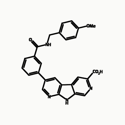 COc1ccc(CNC(=O)c2cccc(-c3cnc4[nH]c5cnc(C(=O)O)cc5c4c3)c2)cc1